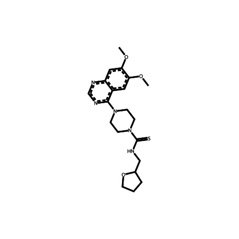 COc1cc2ncnc(N3CCN(C(=S)NCC4CCCO4)CC3)c2cc1OC